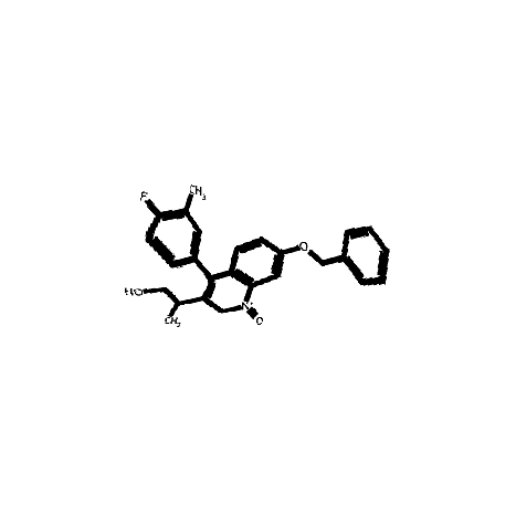 Cc1cc(C2=C(C(C)CO)C[N+](=O)c3cc(OCc4ccccc4)ccc32)ccc1F